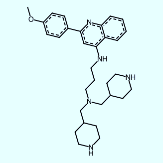 COc1ccc(-c2cc(NCCCN(CC3CCNCC3)CC3CCNCC3)c3ccccc3n2)cc1